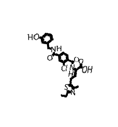 CCc1nc(C)c(C/C=C(\NC(=O)c2ccc(C(=O)NCc3cccc(O)c3)cc2Cl)C(=O)O)s1